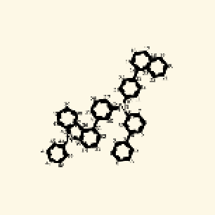 c1ccc(-c2cccc(N(c3ccc(-c4cccc5ccccc45)cc3)c3cccc(-c4cccc5c4c4ccccc4n5-c4ccccc4)c3)c2)cc1